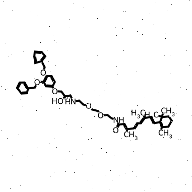 CC(C=CC1=C(C)CCCC1(C)C)=CC=CC(C)=CC(=O)NCCOCCOCCNC[C@@H](O)COc1ccc(OCc2ccccc2)c(OCc2ccccc2)c1